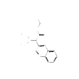 CCOC(=O)C(c1cnc2ccccc2c1)N(C)C